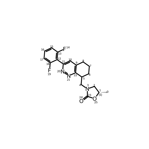 C[C@H]1CN(CC2CCCc3cc(-c4c(F)cccc4F)nnc32)C(=O)O1